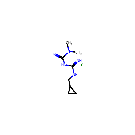 CN(C)C(=N)NC(=N)NCC1CC1.Cl